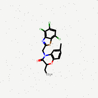 Cc1ccc2c(c1)N(Cc1nc3c(Cl)c(Cl)cc(Cl)c3s1)C(=O)C(CC(=O)O)O2